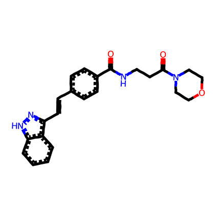 O=C(NCCC(=O)N1CCOCC1)c1ccc(C=Cc2n[nH]c3ccccc23)cc1